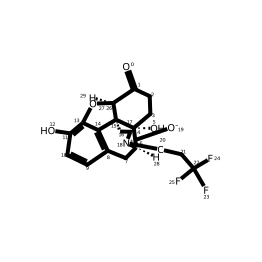 O=C1CC[C@@]2(O)[C@H]3Cc4ccc(O)c5c4[C@@]2(CC[N+]3([O-])CCC(F)(F)F)[C@H]1O5